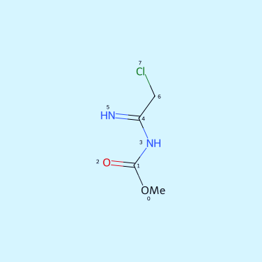 COC(=O)NC(=N)CCl